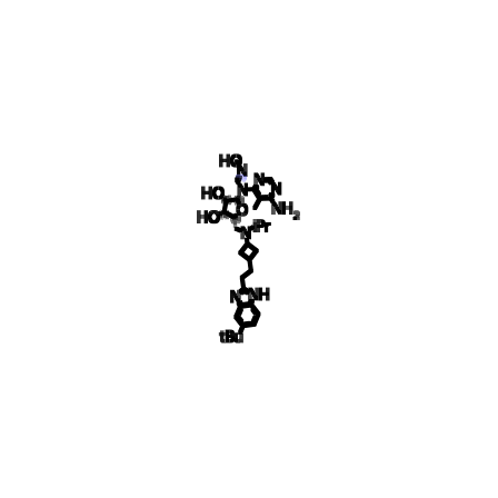 Cc1c(N)ncnc1N(/C=N/O)[C@@H]1O[C@H](CN(C(C)C)C2CC(CCc3nc4cc(C(C)(C)C)ccc4[nH]3)C2)[C@@H](O)[C@H]1O